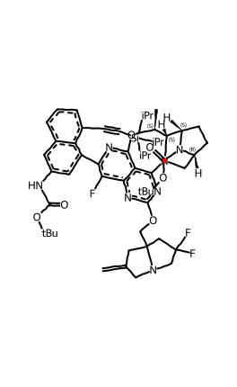 C=C1CN2CC(F)(F)CC2(COc2nc3c4c(nc(-c5cc(NC(=O)OC(C)(C)C)cc6cccc(C#C[Si](C(C)C)(C(C)C)C(C)C)c56)c(F)c4n2)O[C@@H](C)[C@@H]2[C@@H]4CC[C@H](CN32)N4C(=O)OC(C)(C)C)C1